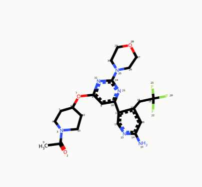 CC(=O)N1CCC(Oc2cc(-c3cnc(N)cc3CC(F)(F)F)nc(N3CCOCC3)n2)CC1